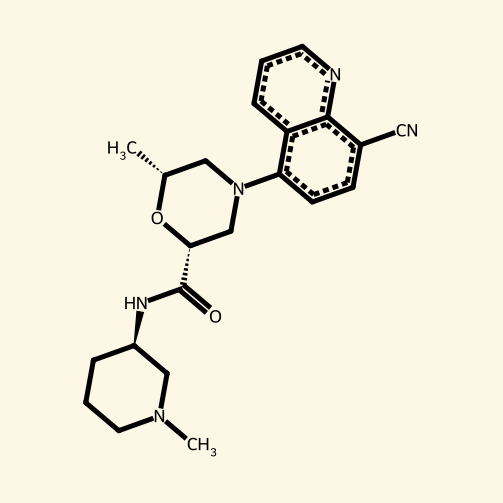 C[C@@H]1CN(c2ccc(C#N)c3ncccc23)C[C@H](C(=O)N[C@@H]2CCCN(C)C2)O1